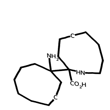 NC1(C2(C(=O)O)CCCCCCCN2)CCCCCCCC1